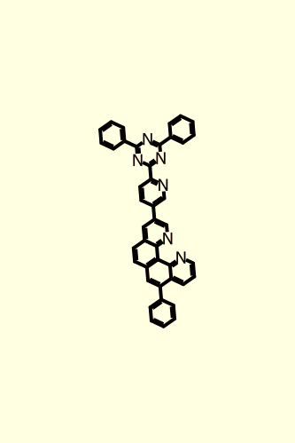 c1ccc(-c2nc(-c3ccccc3)nc(-c3ccc(-c4cnc5c(ccc6cc(-c7ccccc7)c7cccnc7c65)c4)cn3)n2)cc1